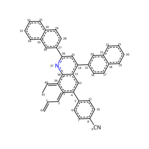 C=C/C=c1/c(-c2ccc(C#N)cc2)cc2c(-c3ccc4ccccc4c3)cc(-c3ccc4ccccc4c3)nc2/c1=C/C